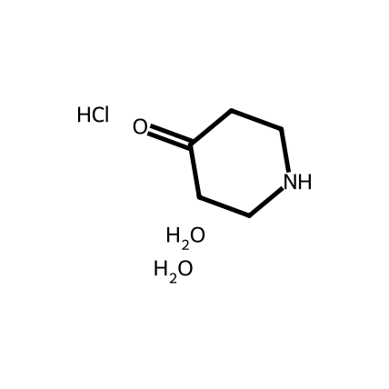 Cl.O.O.O=C1CCNCC1